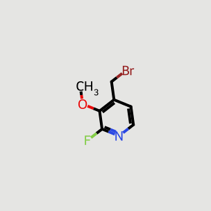 COc1c(CBr)ccnc1F